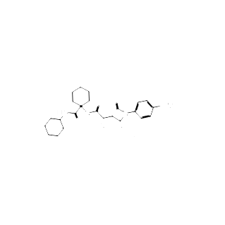 COc1ccc(N2C(=O)[C@H]([C@H](O)C(=O)NC3(C(=O)NC4CCCCC4)CCCCC3)[C@H]2C(=O)O)cc1